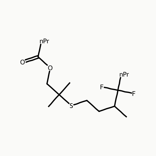 CCCC(=O)OCC(C)(C)SCCC(C)C(F)(F)CCC